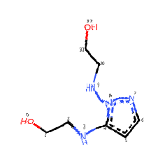 OCCNc1ccnn1NCCO